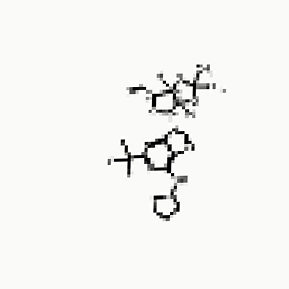 CC1(C)O[C@@H]2[C@@H](O1)[C@H](n1cnc3c(NC4CCCC4)nc(C(F)(F)F)nc31)O[C@H]2C=O